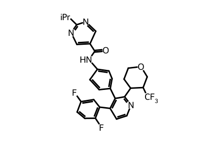 CC(C)c1ncc(C(=O)Nc2ccc(-c3c(-c4cc(F)ccc4F)ccnc3C3CCOCC3C(F)(F)F)cc2)cn1